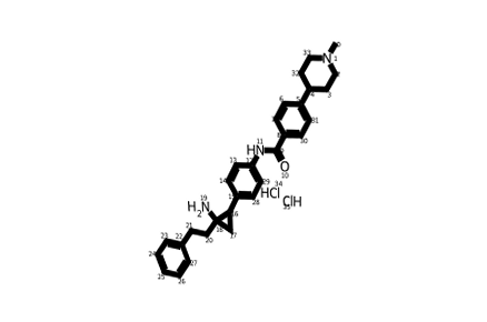 CN1CCC(c2ccc(C(=O)Nc3ccc(C4CC4(N)CCc4ccccc4)cc3)cc2)CC1.Cl.Cl